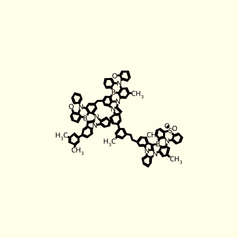 Cc1cc(C)cc(-c2ccc3c(c2)c2c4n(c5ccccc5n34)-c3cc(Cc4cc5c6c(c4)n4c7ccc(-c8cc(C)cc(CCc9cc(C)c%10c%11c%12n(c%13ccccc%13n%12c%10c9)-c9cc(C)cc%10c9B%11c9cccc%11c9N%10c9ccccc9S%11(=O)=O)c8)cc7cc4n6-c4cc(C)cc6c4B5c4cccc5c4N6c4ccccc4O5)cc4c3B2c2cccc3c2N4c2ccccc2O3)c1